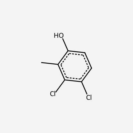 Cc1c(O)ccc(Cl)c1Cl